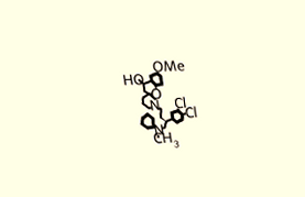 COc1ccc2c(c1)C(O)CC1(CCCN(CC[C@H](CN(C)c3ccccc3)c3ccc(Cl)c(Cl)c3)C1)O2